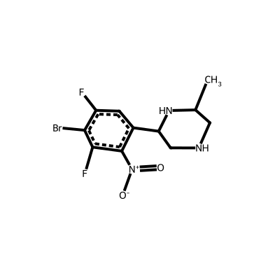 CC1CNCC(c2cc(F)c(Br)c(F)c2[N+](=O)[O-])N1